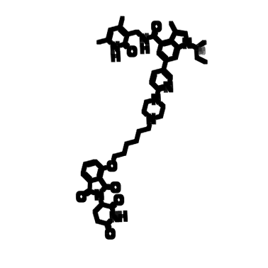 CC[C@H](C)n1cc(C)c2c(C(=O)NCc3c(C)cc(C)[nH]c3=O)cc(-c3ccc(N4CCN(CCCCCCOc5cccc6c5C(=O)N(C5CCC(=O)NC5=O)C6=O)CC4)nc3)cc21